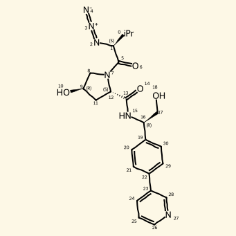 CC(C)[C@H](N=[N+]=[N-])C(=O)N1C[C@H](O)C[C@H]1C(=O)N[C@@H](CO)c1ccc(-c2cccnc2)cc1